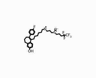 CN(CCCCCCC1=C(c2ccc(F)cc2)CCCc2cc(O)ccc21)CCC[S+]([O-])CCCC(F)(F)C(F)(F)F